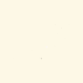 CCOC(=O)C(=N)/C=C/[C@@H](C)O[Si](C)(C)C(C)(C)C